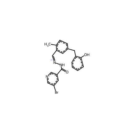 Cc1ccc(Cc2ccccc2O)cc1/C=N\NC(=O)c1cncc(Br)c1